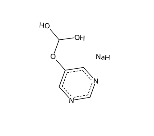 OC(O)Oc1cncnc1.[NaH]